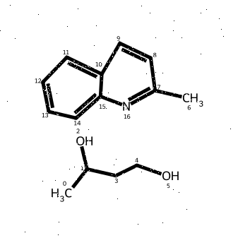 CC(O)CCO.Cc1ccc2ccccc2n1